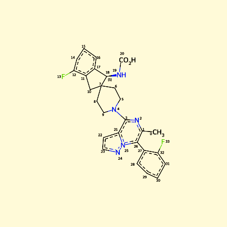 Cc1nc(N2CCC3(CC2)Cc2c(F)cccc2[C@H]3NC(=O)O)c2ccnn2c1-c1ccccc1F